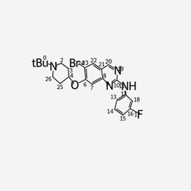 CC(C)(C)N1CCC(Oc2cc3nc(Nc4cccc(F)c4)ncc3cc2Br)CC1